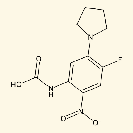 O=C(O)Nc1cc(N2CCCC2)c(F)cc1[N+](=O)[O-]